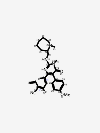 C=C/C(C#N)=C(F)\C=C(/C)c1nc(NCC2CCCCCN2C)n(C)c(=O)c1-c1ccc(OC)cc1